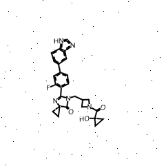 O=C(N1CC(CN2C(=O)C3(CC3)N=C2c2ccc(-c3ccc4[nH]cnc4c3)cc2F)C1)C1(O)CC1